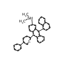 C[SiH](C)Cc1ccc2c(-c3ccc(-c4ccccc4)cc3)c3ccccc3c(-c3cccc4ccccc34)c2c1